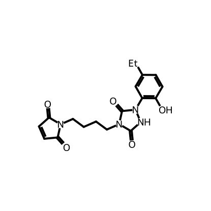 CCc1ccc(O)c(-n2[nH]c(=O)n(CCCCN3C(=O)C=CC3=O)c2=O)c1